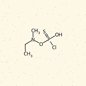 CCN(C)OP(O)(=S)Cl